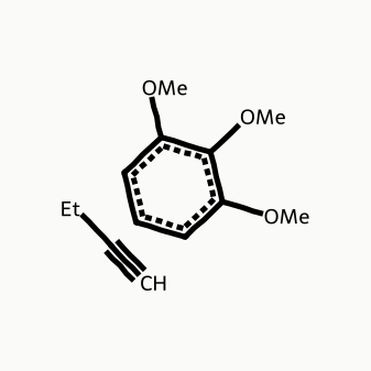 C#CCC.COc1cccc(OC)c1OC